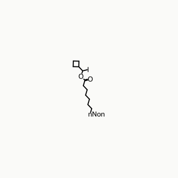 CCCCCCCCCCCCCCCC(=O)OC(I)C1CCC1